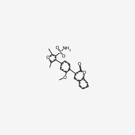 COc1cc(-c2c(C)oc(C)c2S(N)(=O)=O)ccc1-c1cc2ccccc2oc1=O